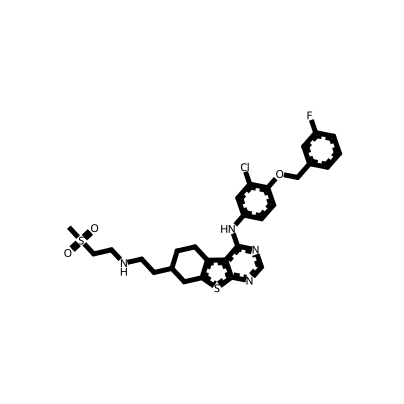 CS(=O)(=O)CCNCCC1CCc2c(sc3ncnc(Nc4ccc(OCc5cccc(F)c5)c(Cl)c4)c23)C1